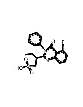 CCC(CS(=O)(=O)O)c1nc2cccc(F)c2c(=O)n1-c1ccccc1